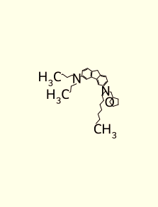 CCCCCCCCN(CC1CCCO1)c1ccc2c(c1)-c1cc(N(CCCC)CCCC)ccc1C2